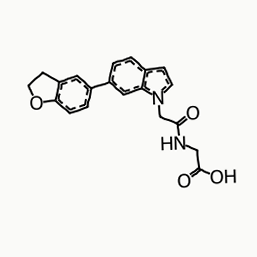 O=C(O)CNC(=O)Cn1ccc2ccc(-c3ccc4c(c3)CCO4)cc21